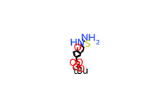 CC(C)(C)OC(=O)OC(=O)c1ccc2c(c1)CCC(NC(N)=S)O2